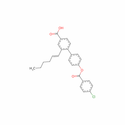 CCCCC=Cc1cc(C(=O)O)ccc1-c1ccc(OC(=O)c2ccc(Cl)cc2)cc1